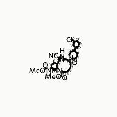 COC(=O)Nc1ccc2c(c1)N[C@@H](C(=O)OC)CCCC[C@H](N1CCC(c3cccc(Cl)c3)CCC1=O)c1nc-2c(C#N)[nH]1